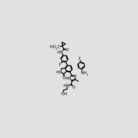 Cc1nc(-c2ccc(-c3ccc(NC(=O)C4(C(=O)O)CC4)cc3F)c3c2C(=O)NC3)[nH]c1C(=O)NCCO.Nc1ccc(F)cc1